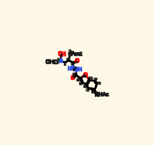 CCCCC[C@H](CN(O)C=O)C(=O)NNC(=O)c1cc2cc(NC(C)=O)ccc2o1